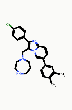 Cc1ccc(-c2ccc3nc(-c4ccc(Cl)cc4)c(CN4CCCNCC4)n3c2)cc1C